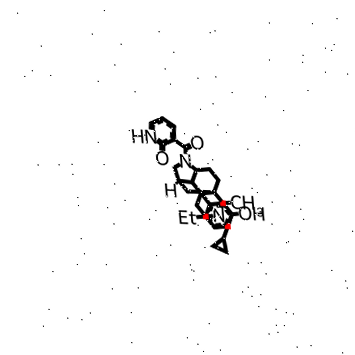 CCc1ccc(O)cc1C12CCN(CC3CC3)C(C)C13CCC1C2[C@@H](CN1C(=O)c1ccc[nH]c1=O)C3